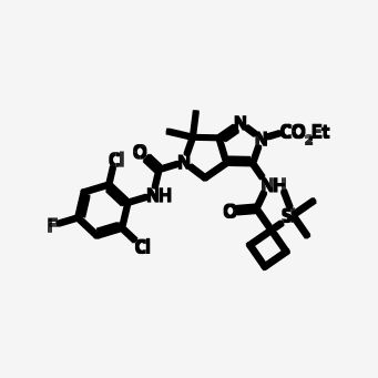 CCOC(=O)n1nc2c(c1NC(=O)C1([Si](C)(C)C)CCC1)CN(C(=O)Nc1c(Cl)cc(F)cc1Cl)C2(C)C